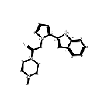 CN1CCN(C(=O)Cn2cccc2-c2[c]c3ccccc3[nH]2)CC1